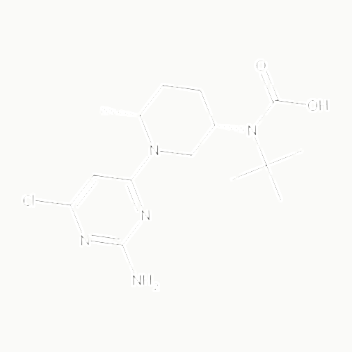 C[C@@H]1CC[C@H](N(C(=O)O)C(C)(C)C)CN1c1cc(Cl)nc(N)n1